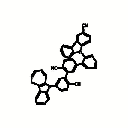 N#Cc1ccc2c(c1)c1ccccc1n2-c1ccccc1-c1ccc(C#N)c(-c2cc(-n3c4c(c5ccccc53)CC=CC=C4)ccc2C#N)c1